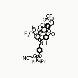 CC(C)N(C(C)C)P(OCCC#N)Oc1ccc(CNC(=O)c2ccc3c(c2)C2(OC3=O)c3cc4c(cc3C(C)(C)c3cc5c(cc32)CCCN5C(=O)C(F)(F)F)N(C(=O)C(F)(F)F)CCC4)cc1